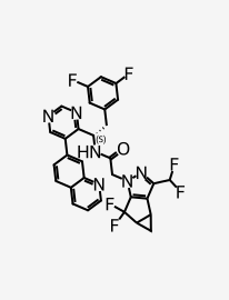 O=C(Cn1nc(C(F)F)c2c1C(F)(F)C1CC21)N[C@@H](Cc1cc(F)cc(F)c1)c1ncncc1-c1ccc2cccnc2c1